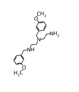 COc1cccc(CNCCN(CCN)Cc2cccc(OC)c2)c1